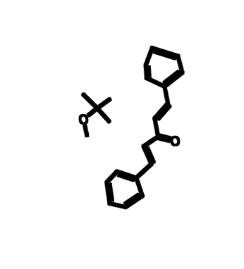 COC(C)(C)C.O=C(C=Cc1ccccc1)C=Cc1ccccc1